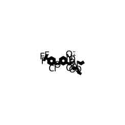 C=CCN(OC(=O)c1cc(Oc2ccc(C(F)(F)F)cc2Cl)ccc1[N+](=O)[O-])C(=O)OCC